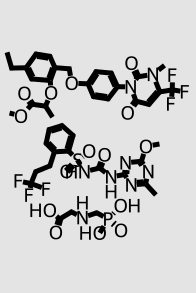 CCc1ccc(COc2ccc(-n3c(=O)cc(C(F)(F)F)n(C)c3=O)cc2)c(OC(C)C(=O)OC)c1.COc1nc(C)nc(NC(=O)NS(=O)(=O)c2ccccc2CCC(F)(F)F)n1.O=C(O)CNCP(=O)(O)O